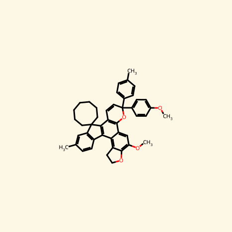 COc1ccc(C2(c3ccc(C)cc3)C=Cc3c4c(c5c6c(c(OC)cc5c3O2)OCC6)-c2ccc(C)cc2C42CCCCCCC2)cc1